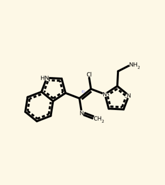 C=N/C(=C(/Cl)n1ccnc1CN)c1c[nH]c2ccccc12